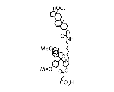 CCCCCCCCC1CCC2C3CC=C4CC(OC(=O)NCCCCCCN5CC(OC(=O)CCC(=O)O)CC5C(OCc5ccccc5)(c5ccc(OC)cc5)c5ccc(OC)cc5)CCC4(C)C3CCC12C